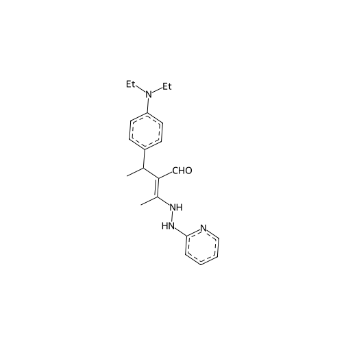 CCN(CC)c1ccc(C(C)/C(C=O)=C(\C)NNc2ccccn2)cc1